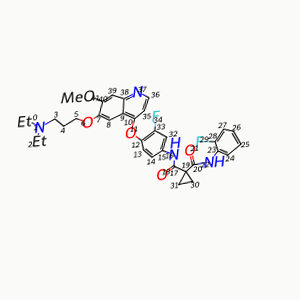 CCN(CC)CCCOc1cc2c(Oc3ccc(NC(=O)C4(C(=O)Nc5ccccc5F)CC4)cc3F)ccnc2cc1OC